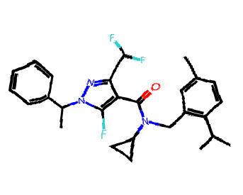 Cc1ccc(C(C)C)c(CN(C(=O)c2c(C(F)F)nn(C(C)c3ccccc3)c2F)C2CC2)c1